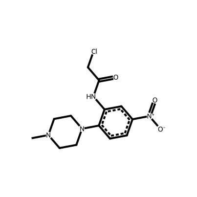 CN1CCN(c2ccc([N+](=O)[O-])cc2NC(=O)CCl)CC1